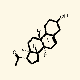 CC(=O)[C@@H]1CC[C@H]2[C@@H]3CC=C4CC(O)CC[C@]4(C)[C@H]3CC[C@]12C